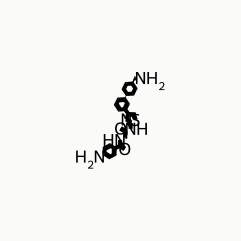 NC[C@H]1CC[C@H](c2cccc(-c3csc(NC(=O)CNC(=O)c4ccc(N)cc4)n3)c2)CC1